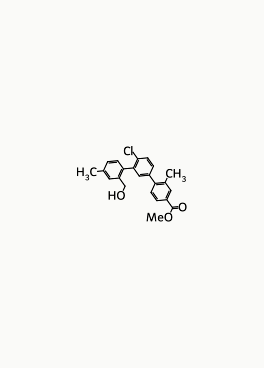 COC(=O)c1ccc(-c2ccc(Cl)c(-c3ccc(C)cc3CO)c2)c(C)c1